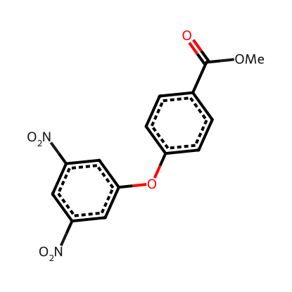 COC(=O)c1ccc(Oc2cc([N+](=O)[O-])cc([N+](=O)[O-])c2)cc1